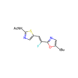 CC(=O)Nc1ncc(/C=C(\F)c2ncc(C(C)(C)C)o2)s1